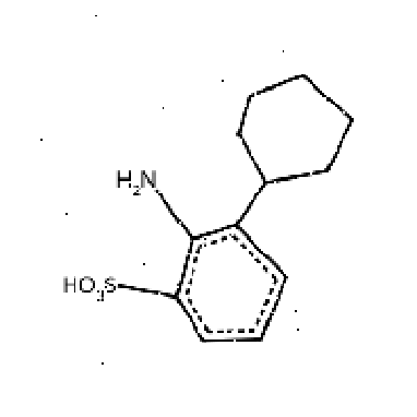 Nc1c(C2CCCCC2)cccc1S(=O)(=O)O